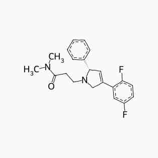 CN(C)C(=O)CCN1CC(c2cc(F)ccc2F)=C[C@H]1c1ccccc1